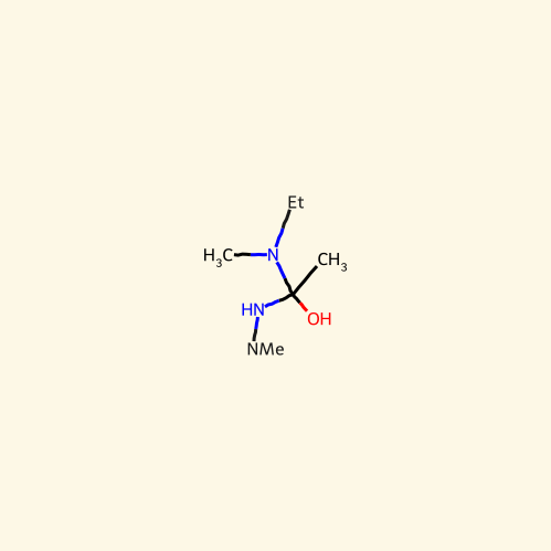 CCN(C)C(C)(O)NNC